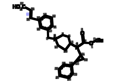 CC(C)(C)OC(=O)N(C1CCN(Cc2cccc(/C=C/C(=O)O)c2)CC1)C1CC1c1ccccc1